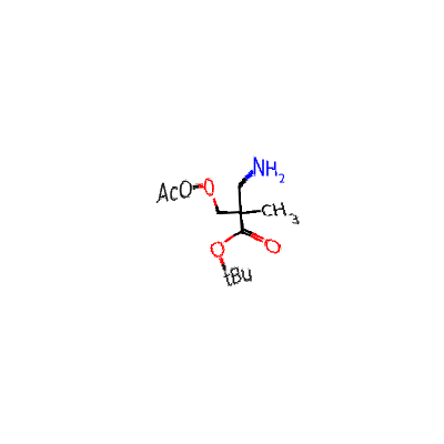 CC(=O)OOCC(C)(CN)C(=O)OC(C)(C)C